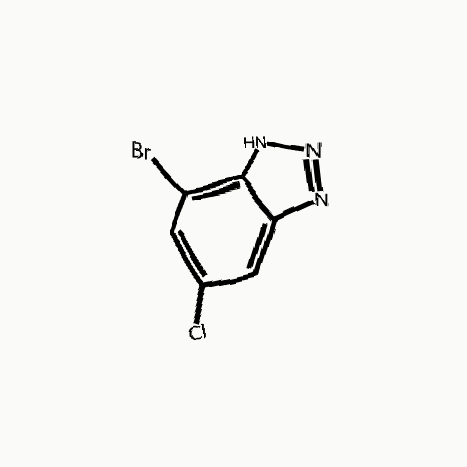 Clc1cc(Br)c2[nH]nnc2c1